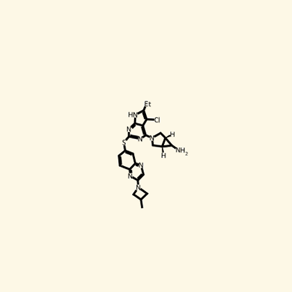 CCc1[nH]c2nc(Sc3ccc4nc(N5CC(C)C5)cnc4c3)nc(N3C[C@@H]4C(N)[C@@H]4C3)c2c1Cl